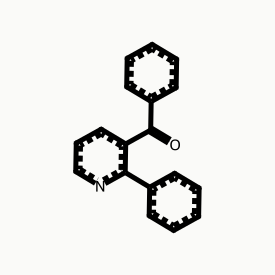 O=C(c1ccccc1)c1cccnc1-c1ccccc1